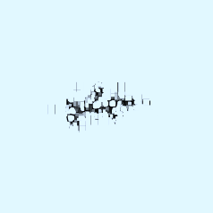 C[C@H](CO[Si](C)(C)C(C)(C)C)N(CC(=O)N[C@H](CN(C)C)c1cccc(Cl)c1F)C(=O)Cn1nc(C(N)=O)c2cc(NC(=O)OC(C)(C)C)ccc21